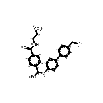 CCCC(Oc1ccc(-c2ccc(CC(C)C)cc2)cc1)c1ccc(C(=O)NCCC(=O)O)cc1